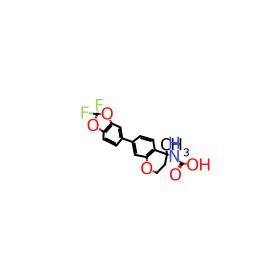 CC1(NC(=O)O)CCOc2cc(-c3ccc4c(c3)OC(F)(F)O4)ccc21